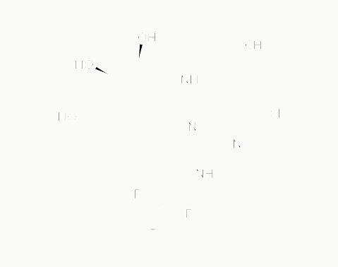 C#Cc1c(Cl)nc(NCC(F)(F)F)nc1N[C@@H]1C[C@H](CO)[C@@H](O)[C@H]1O